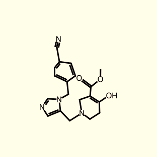 COC(=O)C1=C(O)CCN(Cc2cncn2Cc2ccc(C#N)cc2)C1